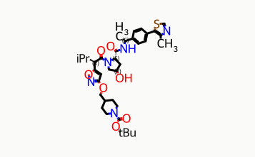 Cc1ncsc1-c1ccc([C@H](C)NC(=O)[C@@H]2C[C@@H](O)CN2C(=O)[C@@H](c2cc(OCC3CCN(C(=O)OC(C)(C)C)CC3)no2)C(C)C)cc1